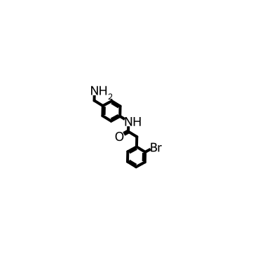 NCc1ccc(NC(=O)Cc2ccccc2Br)cc1